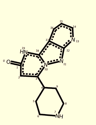 O=c1cc(C2CCNCC2)n2nc3ncccc3c2[nH]1